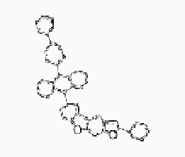 c1ccc(-c2ccc(-c3c4ccccc4c(-c4ccc5oc6cc7oc(-c8ccccc8)cc7cc6c5c4)c4ccccc34)cc2)cc1